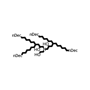 CCCCCCCCCCCCCCCCC(CCCCCCCCCCCCCCCC)CC(O)CN(CCO)CC(O)CC(CCCCCCCCCCCCCCCC)CCCCCCCCCCCCCCCC